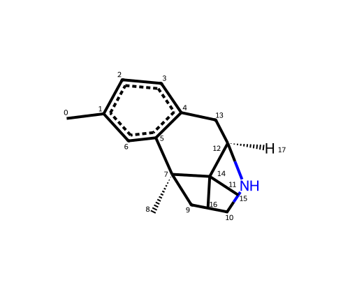 Cc1ccc2c(c1)[C@]1(C)CCN[C@H](C2)C1(C)C